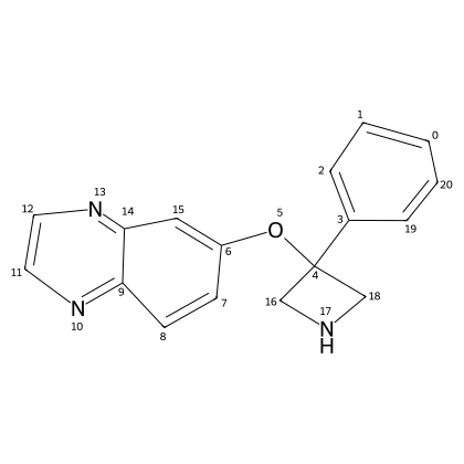 c1ccc(C2(Oc3ccc4nccnc4c3)CNC2)cc1